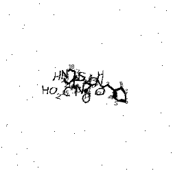 O=C(Cc1ccccc1)NC1C(=O)N2C(C(=O)O)C3(CCNCC3)S[C@@H]12